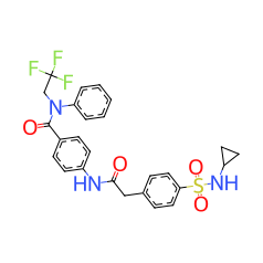 O=C(Cc1ccc(S(=O)(=O)NC2CC2)cc1)Nc1ccc(C(=O)N(CC(F)(F)F)c2ccccc2)cc1